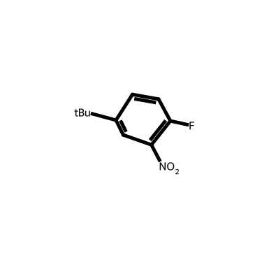 CC(C)(C)c1ccc(F)c([N+](=O)[O-])c1